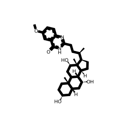 COc1ccc2nc(CC[C@@H](C)[C@H]3CC[C@H]4[C@H]5C(C[C@H](O)[C@]34C)[C@@]3(C)CC[C@@H](O)C[C@H]3C[C@H]5O)[nH]c(=O)c2c1